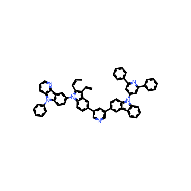 C=Cc1c(/C=C\C)n(-c2ccc3c(c2)c2ncccc2n3-c2ccccc2)c2ccc(-c3cncc(-c4ccc5c(c4)c4ccccc4n5-c4cc(-c5ccccc5)nc(-c5ccccc5)c4)c3)cc12